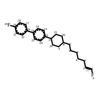 F/C=C/CCCCCC1CCC(c2ccc(-c3ccc(F)cc3)cc2)CC1